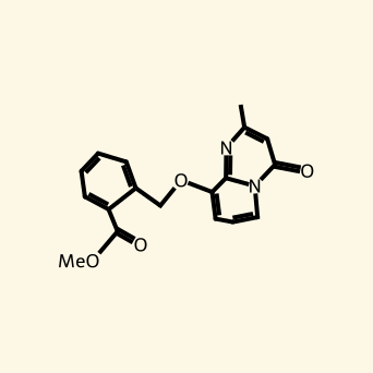 COC(=O)c1ccccc1COc1cccn2c(=O)cc(C)nc12